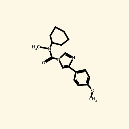 COc1ccc(-c2cn(C(=O)N(C)C3CCCCC3)cn2)cc1